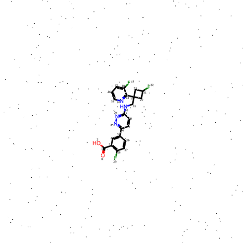 O=C(O)c1cc(-c2ccc(NCC3(c4ncccc4F)CC(F)C3)nn2)ccc1F